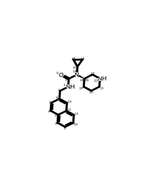 O=C(NCc1ccc2ccccc2c1)N(C1CC1)[C@@H]1CCCNC1